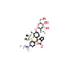 C[C@H]1[C@H](Oc2ccc3c(c2CF)S(C)(C)c2cc(N(C)C)ccc2C32OC(=O)c3ccccc32)O[C@H](CO)[C@H](O)[C@@H]1O